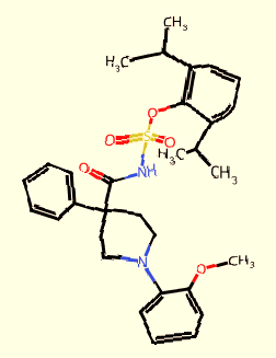 COc1ccccc1N1CCC(C(=O)NS(=O)(=O)Oc2c(C(C)C)cccc2C(C)C)(c2ccccc2)CC1